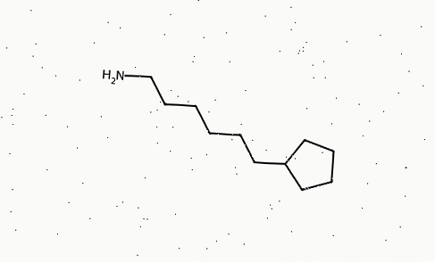 NCCCCCCC1CCCC1